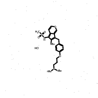 CCCCc1c(Cc2ccc(OCCCN(CCCC)CCCC)cc2)c2coccc-2c1NS(C)(=O)=O.Cl